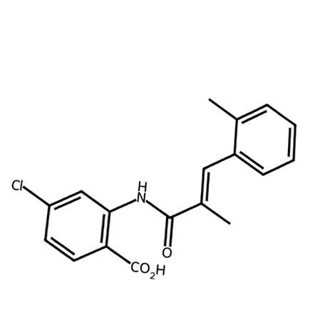 C/C(=C\c1ccccc1C)C(=O)Nc1cc(Cl)ccc1C(=O)O